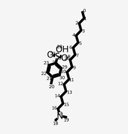 CCCCCCCCCCCCCCCCCN(C)C.Cc1ccc(S(=O)(=O)O)cc1